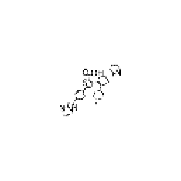 CC1CCC(C2=C(c3cc(-c4ccc(-c5cc6ncccn6n5)cc4)sc3C(=O)O)CCN(Cc3ccccn3)C2)CC1